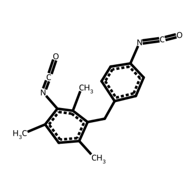 Cc1cc(C)c(N=C=O)c(C)c1Cc1ccc(N=C=O)cc1